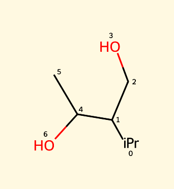 CC(C)C(CO)C(C)O